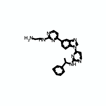 CC(Nc1nccc(-n2cnc3cc(-c4ccnc(NCCN)n4)ccc32)n1)c1ccccc1